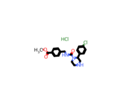 COC(=O)c1ccc(CNC(=O)N2CCNCC2c2ccc(Cl)cc2)cc1.Cl